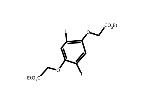 CCOC(=O)COc1cc(I)c(OCC(=O)OCC)cc1I